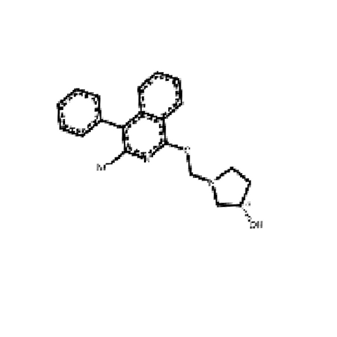 N#Cc1nc(OCN2CC[C@H](O)C2)c2ccccc2c1-c1ccccc1